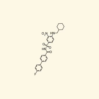 O=C(NS(=O)(=O)c1ccc(NCC2CCCCC2)c([N+](=O)[O-])c1)c1ccc(-c2ccc(F)cc2)cc1